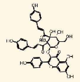 O=C(C=Cc1ccc(O)cc1)[C@]1(O)C(Oc2c(-c3ccc(O)cc3)oc3cc(O)cc(O)c3c2=O)O[C@H](CO)[C@@H](O)[C@@]1(O)C(=O)C=Cc1ccc(O)cc1